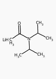 CC(=O)N(C(C)C)C(C)C.[LiH]